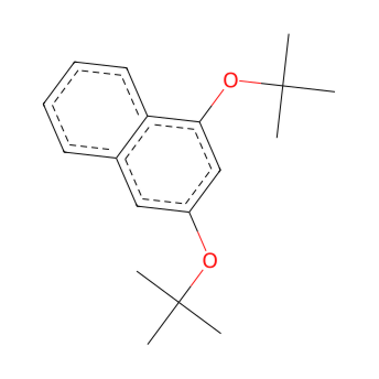 CC(C)(C)Oc1cc(OC(C)(C)C)c2ccccc2c1